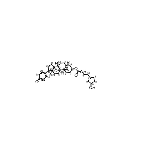 C[C@]12CC[C@H](OC(=O)NCCN3CC[C@H](O)C3)C[C@H]1CC[C@@H]1[C@@H]2CC[C@]2(C)[C@@H](c3ccc(=O)oc3)[CH]C[C@]12O